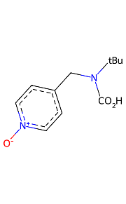 CC(C)(C)N(Cc1cc[n+]([O-])cc1)C(=O)O